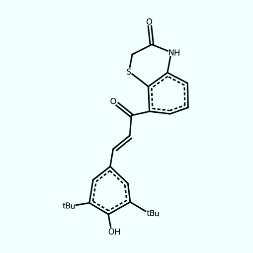 CC(C)(C)c1cc(C=CC(=O)c2cccc3c2SCC(=O)N3)cc(C(C)(C)C)c1O